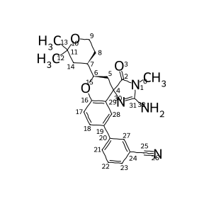 CN1C(=O)C2(C[C@H]([C@@H]3CCOC(C)(C)C3)Oc3ccc(-c4cccc(C#N)c4)cc32)N=C1N